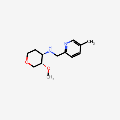 CO[C@@H]1COCC[C@H]1NCc1ccc(C)cn1